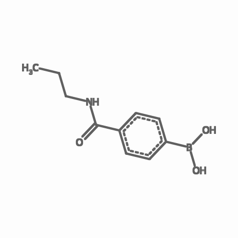 CCCNC(=O)c1ccc(B(O)O)cc1